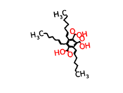 CCCCCC=Cc1c(C=CCCCCC)c(C(=O)O)c(C(=O)O)c(C=CCCCCC)c1C(=O)O